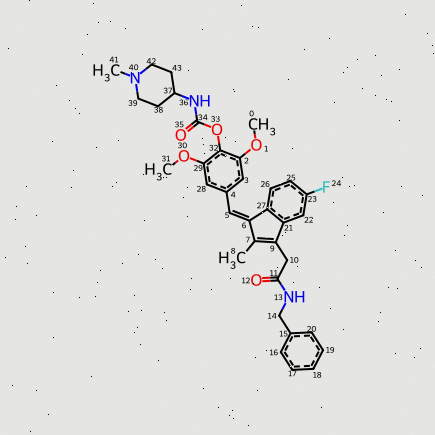 COc1cc(/C=C2/C(C)=C(CC(=O)NCc3ccccc3)c3cc(F)ccc32)cc(OC)c1OC(=O)NC1CCN(C)CC1